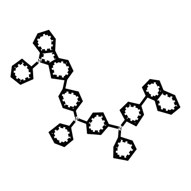 c1ccc(N(c2ccc(-c3ccc4c5ccccc5n(-c5ccccc5)c4c3)cc2)c2ccc(N(c3ccccc3)c3ccc(-c4cccc5ccccc45)cc3)cc2)cc1